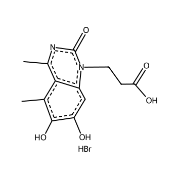 Br.Cc1nc(=O)n(CCC(=O)O)c2cc(O)c(O)c(C)c12